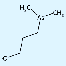 C[As](C)CCC[O]